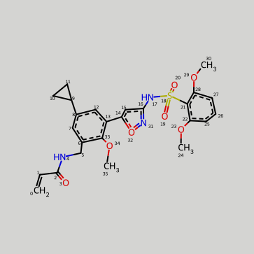 C=CC(=O)NCc1cc(C2CC2)cc(-c2cc(NS(=O)(=O)c3c(OC)cccc3OC)no2)c1OC